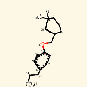 CCCCC1(CC)CCCC(COc2ccc(CCC(=O)O)cc2)C1